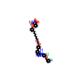 O=C1NC(=O)c2c(Oc3cccc(CCCCCCCOCCOc4ccc(-c5ccc6ncnc(Nc7ccc(OCc8cccc(F)c8)c(Cl)c7)c6c5)cc4)c3)cccc2C1=O